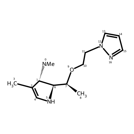 CN[C@H]1C(C)=CN[C@@H]1[C@H](C)OCCn1cccn1